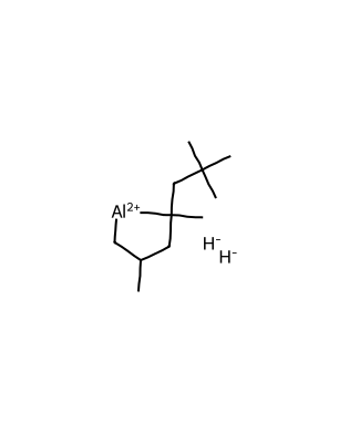 CC([CH2][Al+2])CC(C)(C)CC(C)(C)C.[H-].[H-]